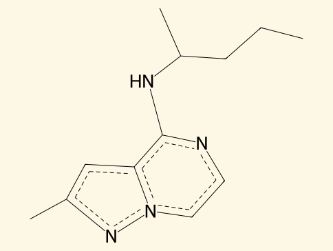 CCCC(C)Nc1nccn2nc(C)cc12